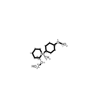 C[N@@+]1(C2CCC(O[N+](=O)[O-])CC2)CCCC[C@H]1OC(=O)O